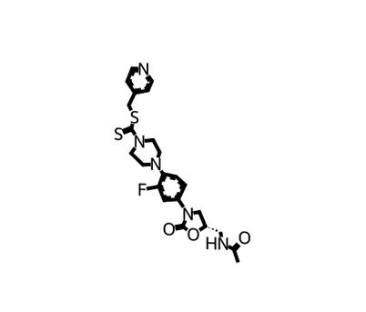 CC(=O)NC[C@H]1CN(c2ccc(N3CCN(C(=S)SCc4ccncc4)CC3)c(F)c2)C(=O)O1